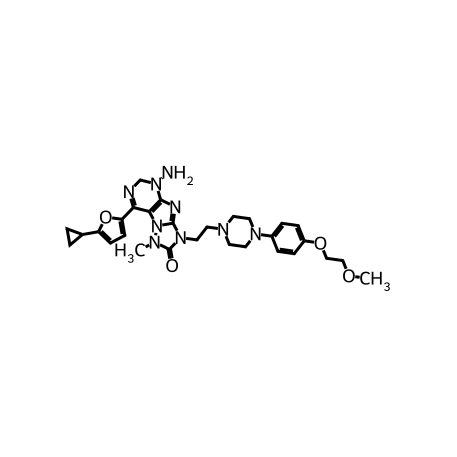 COCCOc1ccc(N2CCN(CCn3c(=O)n(C)n4c5c(nc34)N(N)CN=C5c3ccc(C4CC4)o3)CC2)cc1